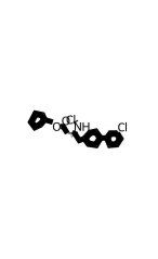 O=C(C[C@@H](Cc1ccc(-c2cccc(Cl)c2)cc1)NCl)OCc1ccccc1